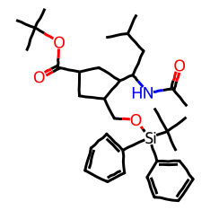 CC(=O)NC(CC(C)C)C1CC(C(=O)OC(C)(C)C)CC1CO[Si](c1ccccc1)(c1ccccc1)C(C)(C)C